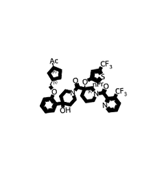 CCC[C@H]1N(C(=O)c2ncccc2C(F)(F)F)CCC[C@@]1(Oc1csc(C(F)(F)F)c1)C(=O)N1CCC(O)(c2ccccc2OC[C@H]2CC[C@@H](C(C)=O)C2)CC1